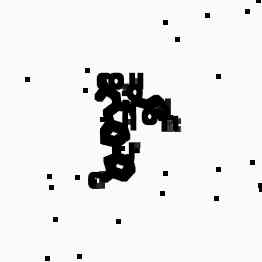 CCc1ncc(C(=O)NC(Cc2ccc(-c3cc(Cl)ccc3F)cc2)C[C@H](C)C(=O)O)o1